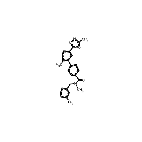 Cc1nnc(-c2ccc(C)c(-c3ccc(C(=O)N(C)Cc4cccc(C(F)(F)F)c4)cc3)c2)o1